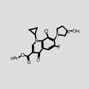 CCCOC(=O)c1cn(C2CC2)c2c(Cl)c(N3CC[C@@H](O)C3)c(F)cc2c1=O